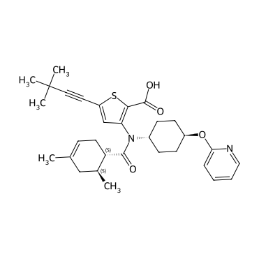 CC1=CC[C@H](C(=O)N(c2cc(C#CC(C)(C)C)sc2C(=O)O)[C@H]2CC[C@H](Oc3ccccn3)CC2)[C@@H](C)C1